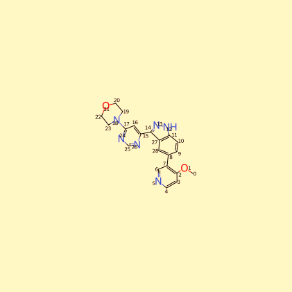 COc1ccncc1-c1ccc2[nH]nc(-c3cc(N4CCOCC4)ncn3)c2c1